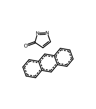 O=C1C=CN=N1.c1ccc2cc3ccccc3cc2c1